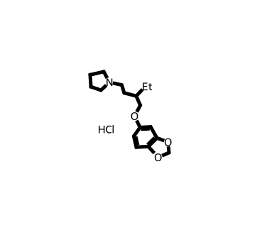 CCC(CCN1CCCC1)COc1ccc2c(c1)OCO2.Cl